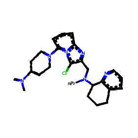 CCCN(Cc1nc2cccc(N3CCC(N(C)C)CC3)n2c1Cl)C1CCCc2cccnc21